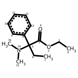 CCOC(=O)C(CC)(c1ccccc1)N(C)C